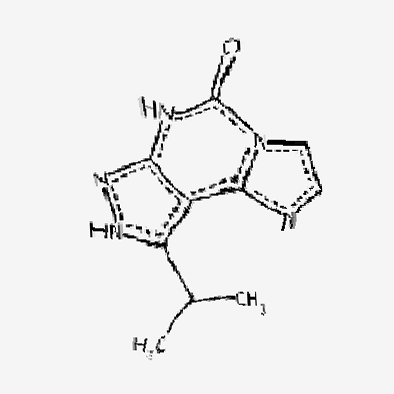 CC(C)c1[nH]nc2[nH]c(=O)n3ccnc3c12